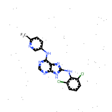 FC(F)(F)c1ccc(Nc2ncnc3[nH]c(Nc4c(Cl)cccc4Cl)nc23)cn1